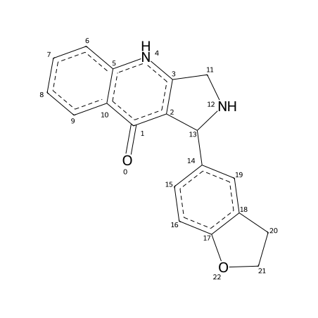 O=c1c2c([nH]c3ccccc13)CNC2c1ccc2c(c1)CCO2